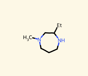 CCC1CN(C)CCCN1